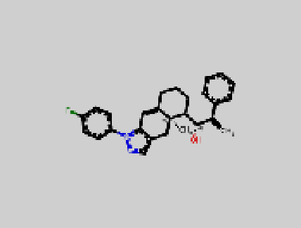 C=C(c1ccccc1)[C@H](O)C1CCCC2=Cc3c(cnn3-c3ccc(F)cc3)C[C@@]21C